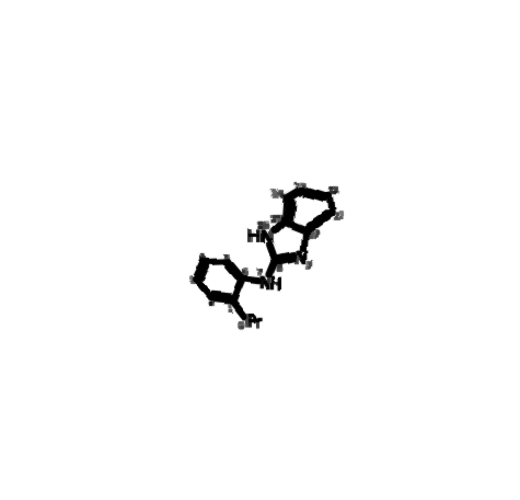 CC(C)c1ccccc1Nc1nc2ccccc2[nH]1